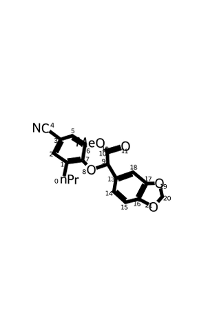 CCCc1cc(C#N)ccc1OC(C(=O)OC)c1ccc2c(c1)OCO2